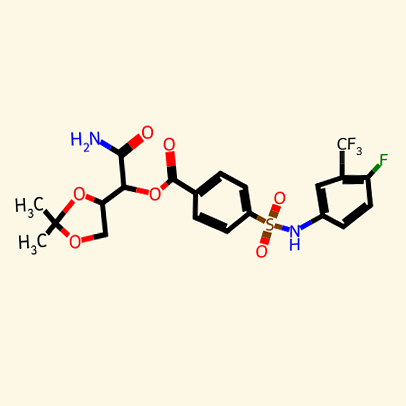 CC1(C)OCC(C(OC(=O)c2ccc(S(=O)(=O)Nc3ccc(F)c(C(F)(F)F)c3)cc2)C(N)=O)O1